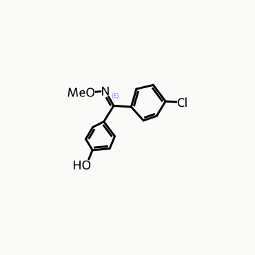 CO/N=C(\c1ccc(O)cc1)c1ccc(Cl)cc1